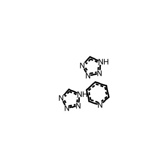 c1ccncc1.c1nnn[nH]1.c1nnn[nH]1